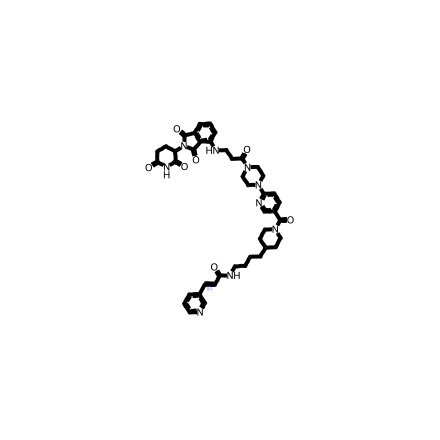 O=C(/C=C/c1cccnc1)NCCCCC1CCN(C(=O)c2ccc(N3CCN(C(=O)CCNc4cccc5c4C(=O)N(C4CCC(=O)NC4=O)C5=O)CC3)nc2)CC1